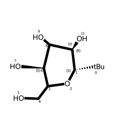 CC(C)(C)[C@@H]1OC(CO)[C@@H](O)C(O)[C@H]1O